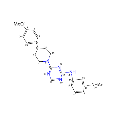 COc1ccc(C2CCN(c3ncnc(Nc4cccc(NC(C)=O)c4)n3)CC2)cc1